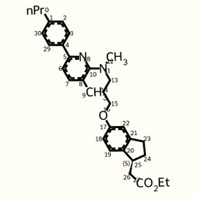 CCCc1ccc(-c2ccc(C)c(N(C)CCCOc3ccc4c(c3)CC[C@H]4CC(=O)OCC)n2)cc1